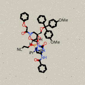 COc1ccc(C(OC[C@@]23CN(C(=O)COc4ccccc4)O[C@@H]([C@H](n4ccc(NC(=O)c5ccccc5)nc4=O)O2)[C@@H]3OP(OCCC#N)N(C(C)C)C(C)C)(c2ccccc2)c2ccc(OC)cc2)cc1